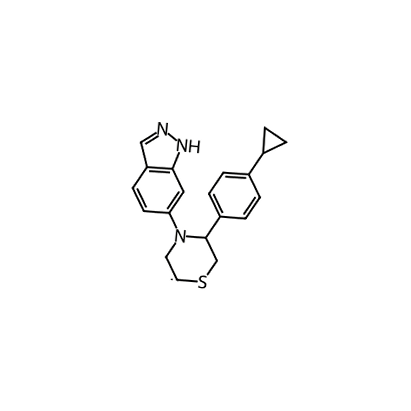 [CH]1CN(c2ccc3cn[nH]c3c2)C(c2ccc(C3CC3)cc2)CS1